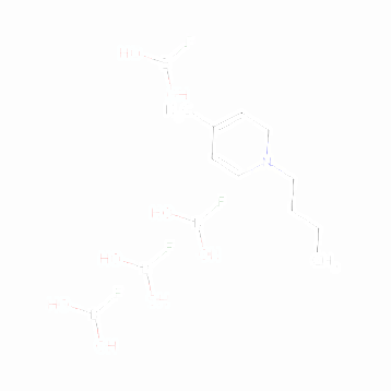 CCCCN1C=CC(C)=CC1.OB(O)F.OB(O)F.OB(O)F.OB(O)F